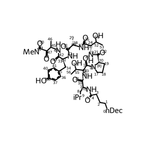 CCCCCCCCCCCCCC(=O)N[C@@H](CC(C)C)C(=O)N[C@H](C(=O)N1CCC[C@@H]1C(=O)N[C@H](C(=O)N[C@@H](C)C(=O)N[C@@H](Cc1ccc(O)cc1)C(=O)NC(C)C(=O)C(=O)NC)C(C)O)C(C)O